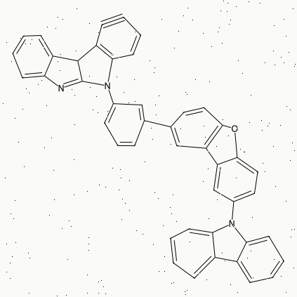 c1ccc2c(c#1)C1C(=Nc3ccccc31)N2c1cccc(-c2ccc3oc4ccc(-n5c6ccccc6c6ccccc65)cc4c3c2)c1